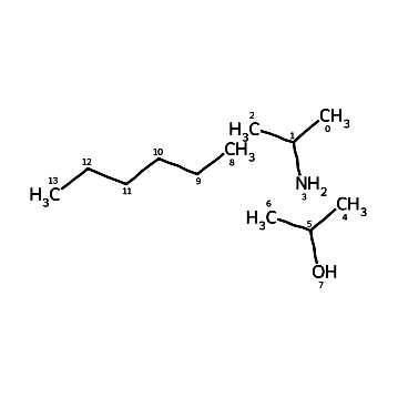 CC(C)N.CC(C)O.CCCCCC